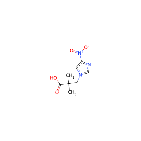 CC(C)(Cn1cnc([N+](=O)[O-])c1)C(=O)O